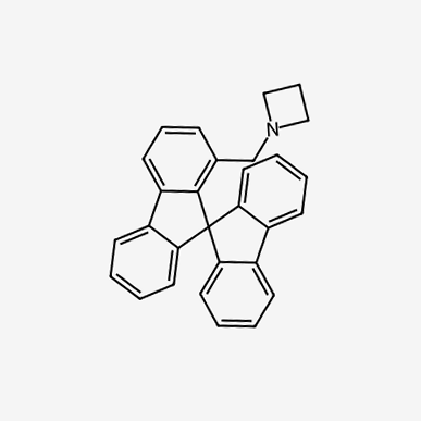 c1ccc2c(c1)-c1ccccc1C21c2ccccc2-c2cccc(CN3CCC3)c21